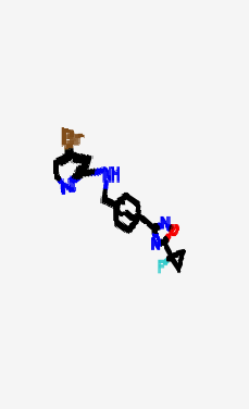 FC1(c2nc(C34CCC(CNc5cc(Br)ccn5)(CC3)CC4)no2)CC1